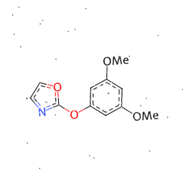 COc1cc(OC)cc(Oc2n[c]co2)c1